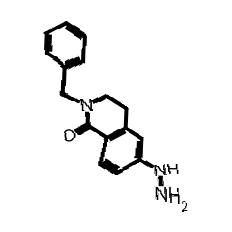 NNc1ccc2c(c1)CCN(Cc1ccccc1)C2=O